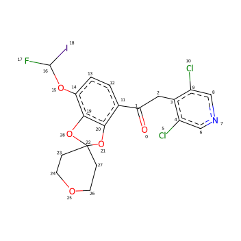 O=C(Cc1c(Cl)cncc1Cl)c1ccc(OC(F)I)c2c1OC1(CCOCC1)O2